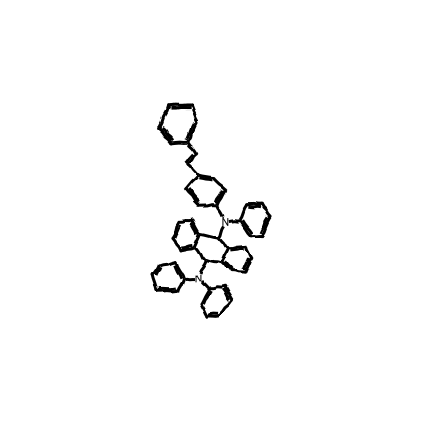 C(=Cc1ccc(N(c2ccccc2)C2c3ccccc3C(N(c3ccccc3)c3ccccc3)c3ccccc32)cc1)c1ccccc1